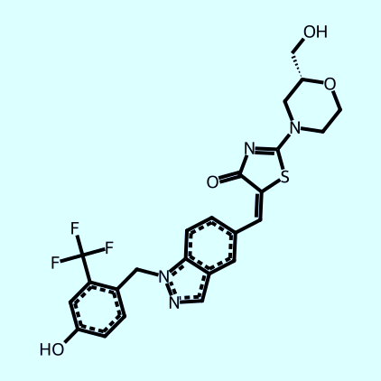 O=C1N=C(N2CCO[C@@H](CO)C2)S/C1=C/c1ccc2c(cnn2Cc2ccc(O)cc2C(F)(F)F)c1